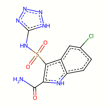 NC(=O)c1[nH]c2ccc(Cl)cc2c1S(=O)(=O)Nc1nnn[nH]1